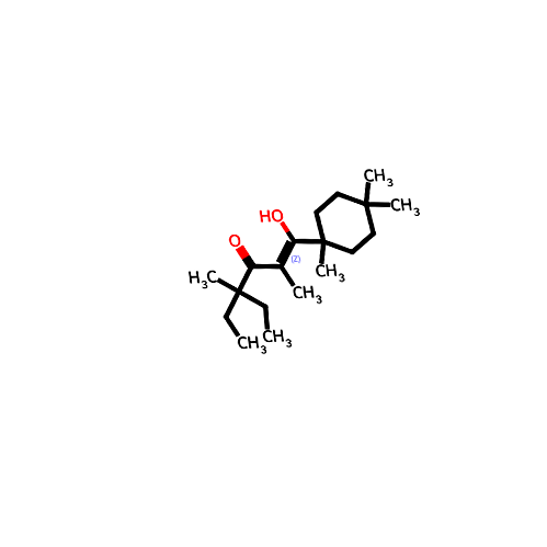 CCC(C)(CC)C(=O)/C(C)=C(\O)C1(C)CCC(C)(C)CC1